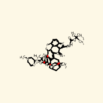 COCc1c(C)c(-c2c(F)ccc3sc(NC(=O)OC(C)(C)C)c(C#N)c23)c(F)c2nc(OC[C@H]3CN(C)CCO3)nc(N3C4CCC3CN(C(=O)OC(C)(C)C)C4)c12